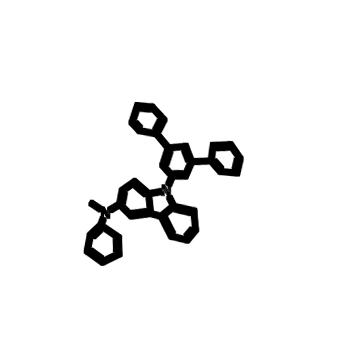 CN(c1ccccc1)c1ccc2c(c1)c1ccccc1n2-c1cc(-c2ccccc2)cc(-c2ccccc2)c1